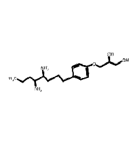 CCCC(N)C(N)CCCc1ccc(OCC(O)CO)cc1